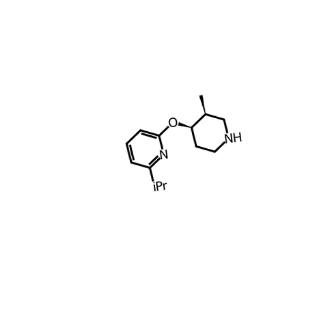 CC(C)c1cccc(O[C@@H]2CCNC[C@@H]2C)n1